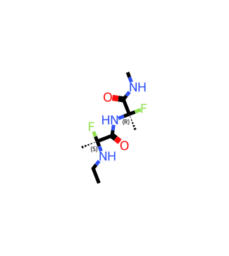 CCN[C@@](C)(F)C(=O)N[C@](C)(F)C(=O)NC